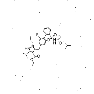 CCCN1NC(C(C)C)=C(C(=O)OCC)C1Cc1ccc(-c2ccccc2S(=O)(=O)NC(=O)OCC(C)C)c(F)c1